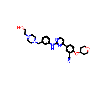 N#Cc1cc(-c2ccnc(Nc3cccc(CN4CCN(CCO)CC4)c3)n2)ccc1OC1CCOCC1